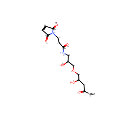 COC(=O)CC(O)COCC(O)CNC(=O)CCN1C(=O)C=CC1=O